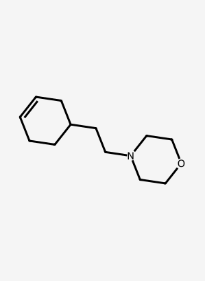 C1=CCC(CCN2CCOCC2)CC1